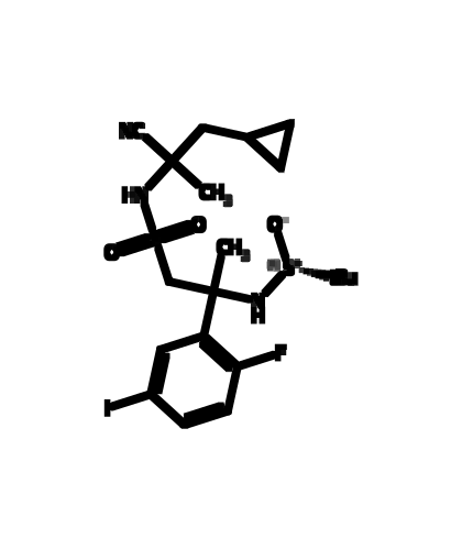 CC(C#N)(CC1CC1)NS(=O)(=O)CC(C)(N[S@+]([O-])C(C)(C)C)c1cc(I)ccc1F